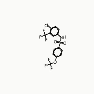 O=S(=O)(Nc1ccc(Cl)c(C(F)(F)F)c1)c1ccc(OC(F)(F)F)cc1